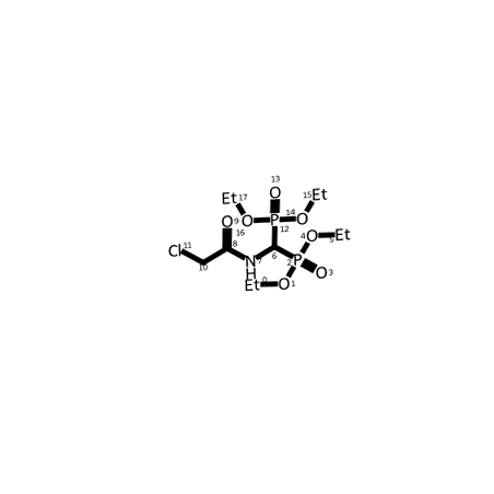 CCOP(=O)(OCC)C(NC(=O)CCl)P(=O)(OCC)OCC